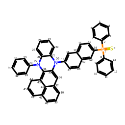 S=P(c1ccccc1)(c1ccccc1)c1ccc2cc(N3c4ccccc4N(c4ccccc4)c4c3cc3cccc5c3c4CC=C5)ccc2c1